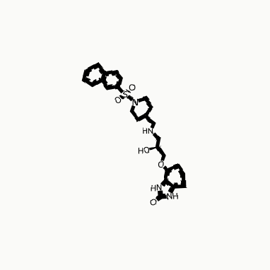 O=c1[nH]c2cccc(OC[C@@H](O)CNCC3CCN(S(=O)(=O)c4ccc5ccccc5c4)CC3)c2[nH]1